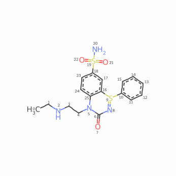 CCNCCN1C(=O)N=S(c2ccccc2)c2cc(S(N)(=O)=O)ccc21